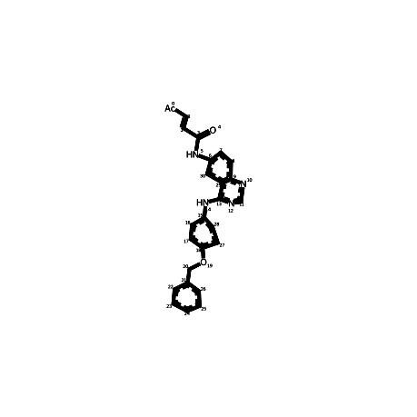 CC(=O)C=CC(=O)Nc1ccc2ncnc(Nc3ccc(OCc4ccccc4)cc3)c2c1